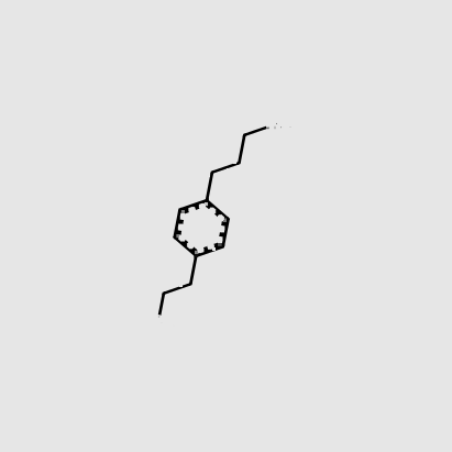 CCCCCCCCCCCCc1ccc(CCS(=O)(=O)O)cc1